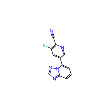 N#Cc1ncc(-c2cccc3ncnn23)cc1F